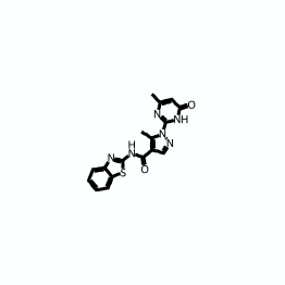 Cc1cc(=O)[nH]c(-n2ncc(C(=O)Nc3nc4ccccc4s3)c2C)n1